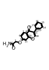 NC(=O)COc1ccc2c(=O)c(-c3ccccc3)coc2c1